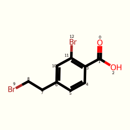 O=C(O)c1ccc(CCBr)cc1Br